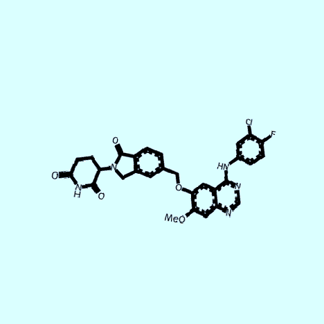 COc1cc2ncnc(Nc3ccc(F)c(Cl)c3)c2cc1OCc1ccc2c(c1)CN(C1CCC(=O)NC1=O)C2=O